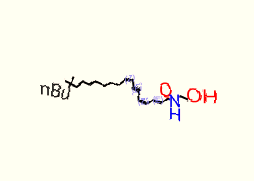 CCCCC(C)(C)CCCCCCC\C=C/C=C/C=C\C=C\C(=O)NCCO